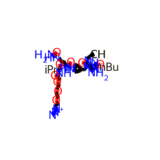 C#CCn1c(=O)n(Cc2ccc(NC(=O)C(CCCNC(N)=O)NC(=O)C(NC(=O)COCCOCCOCCN=[N+]=[N-])C(C)C)cc2)c2c(N)nc(OCCCC)nc21